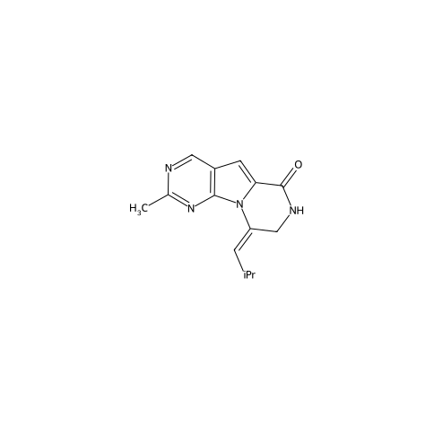 Cc1ncc2cc3n(c2n1)/C(=C/C(C)C)CNC3=O